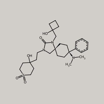 CN(C)[C@]1(c2ccccc2)CC[C@@]2(CC1)CN(CCC1(O)CCS(=O)(=O)CC1)C(=O)N2CC1(O)CCC1